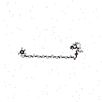 CCCN(CC12CC(CN(C)CCOCCOCCOCCOCCOCCOCCOCCOCCOCCOCCC(=O)Oc3c(F)c(F)cc(F)c3F)(C1)C2)C(=O)C1=Cc2sccc2N=C(N)C1